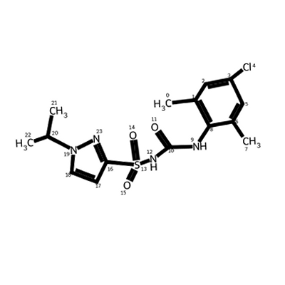 Cc1cc(Cl)cc(C)c1NC(=O)NS(=O)(=O)c1ccn(C(C)C)n1